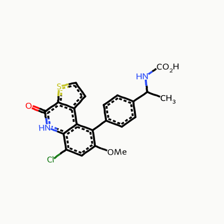 COc1cc(Cl)c2[nH]c(=O)c3sccc3c2c1-c1ccc(C(C)NC(=O)O)cc1